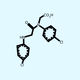 O=C(O)CN(C(=O)CNc1ccc(Cl)cc1)c1ccc(Cl)cc1